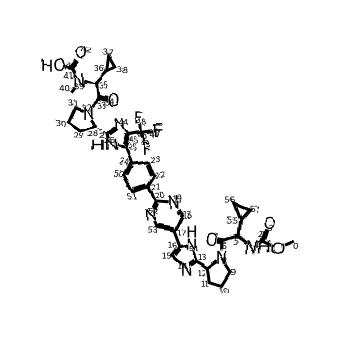 COC(=O)NC(C(=O)N1CCCC1c1ncc(-c2cnc(-c3ccc(-c4[nH]c([C@@H]5CCCN5C(=O)[C@H](C5CC5)N(C)C(=O)O)nc4C(F)(F)F)cc3)nc2)[nH]1)C1CC1